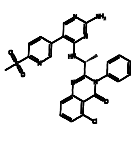 C[C@@H](Nc1nc(N)ncc1-c1ccc(S(C)(=O)=O)nc1)c1nc2cccc(Cl)c2c(=O)n1-c1ccccc1